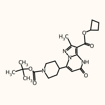 Cc1nn2c(C3CCN(C(=O)OC(C)(C)C)CC3)cc(=O)[nH]c2c1C(=O)OC1CCC1